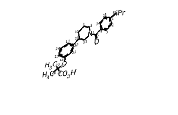 CC(C)c1ccc(C(=O)N2CCCC(c3cccc(OC(C)(C)C(=O)O)c3)C2)cc1